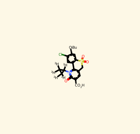 [2H]C1([2H])C([2H])([2H])C1([2H])n1c2c(cc(C(=O)O)c1=O)CS(=O)(=O)c1cc(OCC(C)C)c(Cl)cc1-2